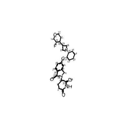 O=C1CCC(N2Cc3cc(O[C@H]4CCCC[C@H]4N4CC(C5CCOC[C@@H]5F)C4)ccc3C2=O)C(=O)N1